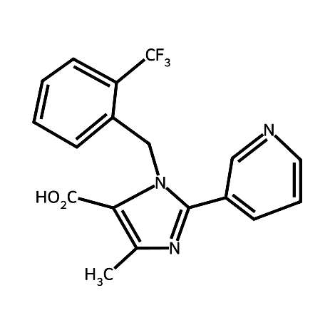 Cc1nc(-c2cccnc2)n(Cc2ccccc2C(F)(F)F)c1C(=O)O